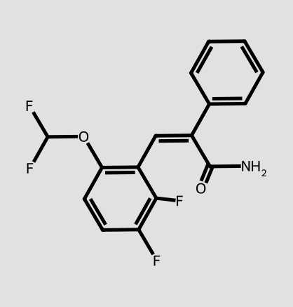 NC(=O)C(=Cc1c(OC(F)F)ccc(F)c1F)c1ccccc1